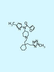 Cc1ccc(N(C(=O)c2ccco2)C2CCN(CCC3(CCc4nnn(C)n4)CCCCC3)CC2)nc1